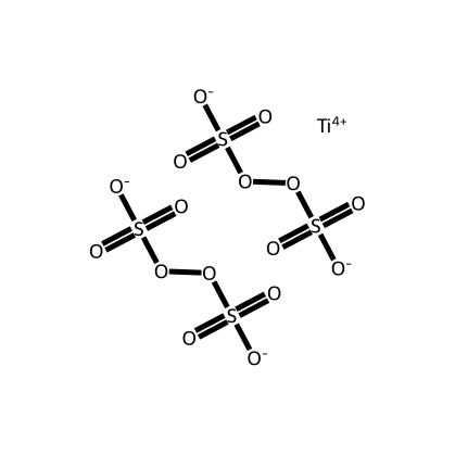 O=S(=O)([O-])OOS(=O)(=O)[O-].O=S(=O)([O-])OOS(=O)(=O)[O-].[Ti+4]